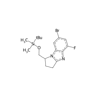 CC(C)(C)[Si](C)(C)OCC1CCc2nc3c(F)cc(Br)cc3n21